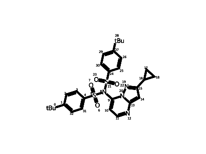 CC(C)(C)c1ccc(S(=O)(=O)N(c2ccnc3cc(C4CC4)nn23)S(=O)(=O)c2ccc(C(C)(C)C)cc2)cc1